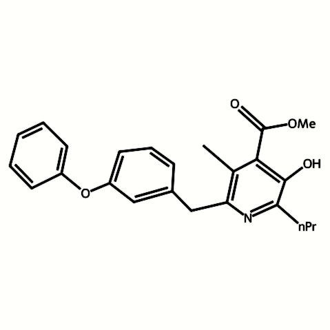 CCCc1nc(Cc2cccc(Oc3ccccc3)c2)c(C)c(C(=O)OC)c1O